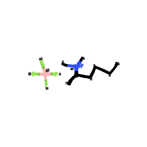 CCCCC(C)[NH+](C)C.F[B-](F)(F)F